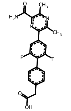 Cc1nc(C)c(-c2cc(F)c(-c3ccc(CC(=O)O)cc3)c(F)c2)nc1C(N)=O